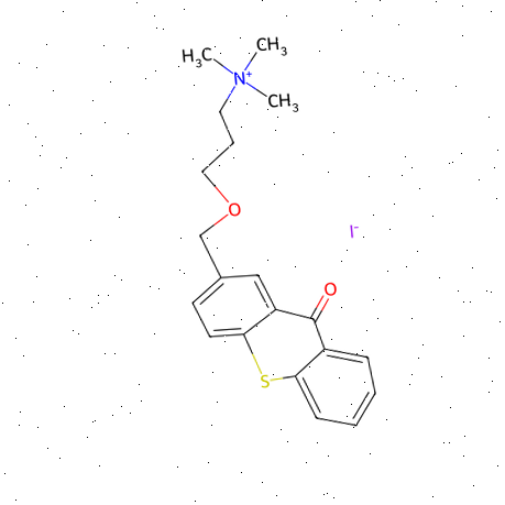 C[N+](C)(C)CCCOCc1ccc2sc3ccccc3c(=O)c2c1.[I-]